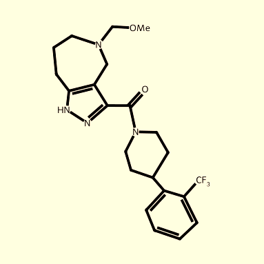 COCN1CCCc2[nH]nc(C(=O)N3CCC(c4ccccc4C(F)(F)F)CC3)c2C1